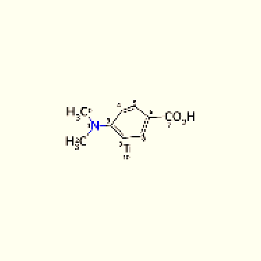 CN(C)c1ccc(C(=O)O)cc1.[Ti]